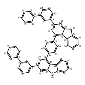 c1ccc(-c2cccc(-c3nc(-c4ccc(-c5nc(-c6cccc(-c7ccccc7)c6)nc6sc7ccccc7c56)cc4)c4c(n3)sc3ccccc34)c2)cc1